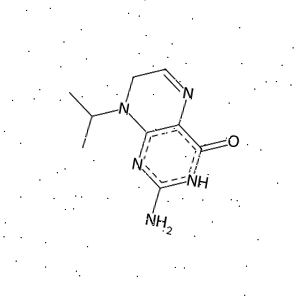 CC(C)N1CC=Nc2c1nc(N)[nH]c2=O